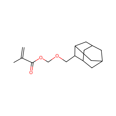 C=C(C)C(=O)OCOCC1C2CC3CC(C2)CC1C3